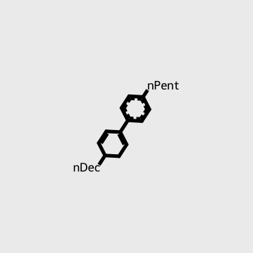 CCCCCCCCCCC1C=CC(c2ccc(CCCCC)cc2)=CC1